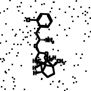 CC1(C)[C@@H]2CC[C@@]1(C)[C@H]1O[C@H](O[C@@H](N)Cc3ccccc3Cl)C[C@@H]21